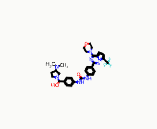 CN(C)C1CCN(C(O)c2ccc(NC(=O)Nc3ccc(-c4nc(N5CCOCC5)c5ccc(C(F)(F)F)n5n4)cc3)cc2)C1